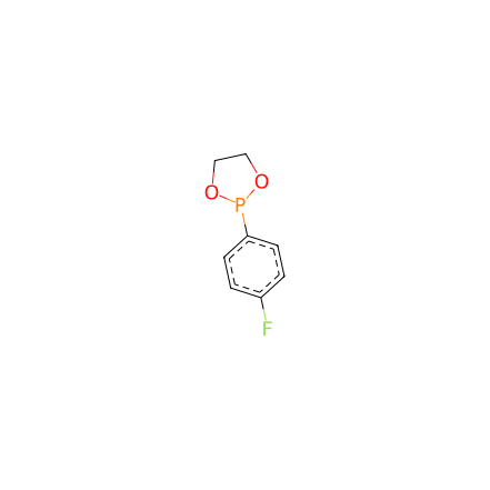 Fc1ccc(P2OCCO2)cc1